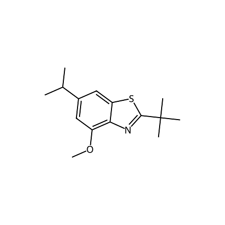 COc1cc(C(C)C)cc2sc(C(C)(C)C)nc12